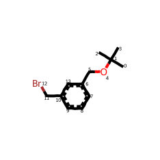 CC(C)(C)OCc1cccc(CBr)c1